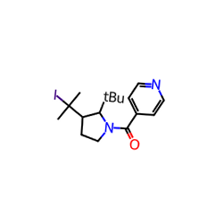 CC(C)(C)C1C(C(C)(C)I)CCN1C(=O)c1ccncc1